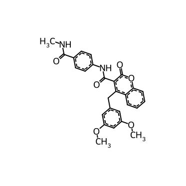 CNC(=O)c1ccc(NC(=O)c2c(Cc3cc(OC)cc(OC)c3)c3ccccc3oc2=O)cc1